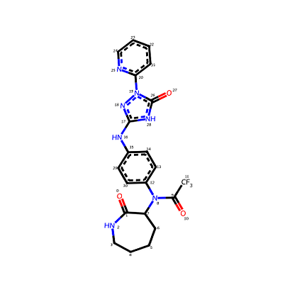 O=C1NCCCCC1N(C(=O)C(F)(F)F)c1ccc(Nc2nn(-c3ccccn3)c(=O)[nH]2)cc1